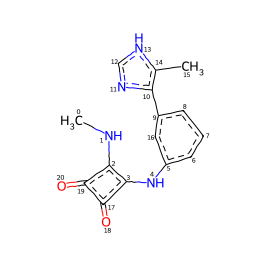 CNc1c(Nc2cccc(-c3nc[nH]c3C)c2)c(=O)c1=O